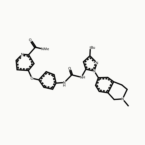 CNC(=O)c1cc(Oc2ccc(NC(=O)Nc3cc(C(C)(C)C)nn3-c3ccc4c(c3)CCN(C)C4)cc2)ccn1